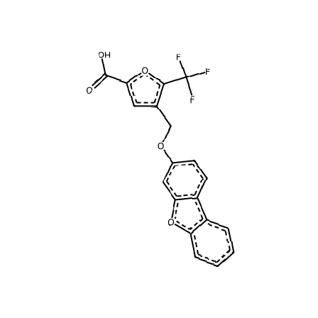 O=C(O)c1cc(COc2ccc3c(c2)oc2ccccc23)c(C(F)(F)F)o1